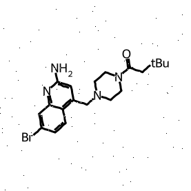 CC(C)(C)CC(=O)N1CCN(Cc2cc(N)nc3cc(Br)ccc23)CC1